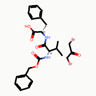 CC(C)[C@H](NC(=O)OCc1ccccc1)C(=O)N[C@@H](Cc1ccccc1)C(=O)O.O=C(CBr)CBr